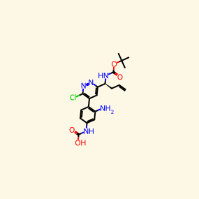 C=CC[C@H](NC(=O)OC(C)(C)C)c1cc(-c2ccc(NC(=O)O)cc2N)c(Cl)nn1